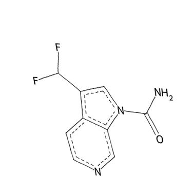 NC(=O)n1cc(C(F)F)c2ccncc21